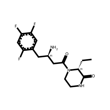 CC[C@@H]1C(=O)NCCN1C(=O)C[C@H](N)Cc1cc(F)c(F)cc1F